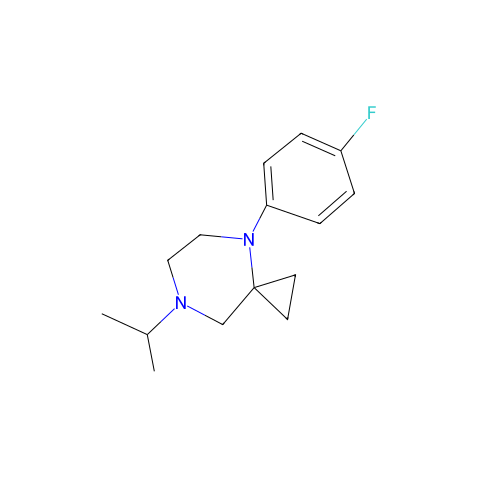 CC(C)N1CCN(c2ccc(F)cc2)C2(CC2)C1